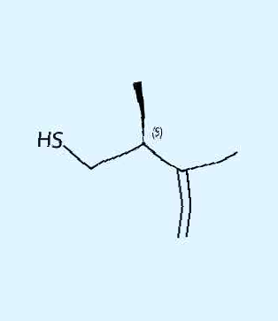 C=C(C)[C@H](C)CS